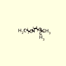 C=CC=C=N/C=C\COC(C)C